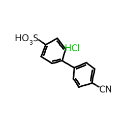 Cl.N#Cc1ccc(-c2ccc(S(=O)(=O)O)cc2)cc1